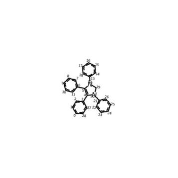 c1ccc(C2=C(c3ccccc3)N(c3ccccc3)CN2c2ccccc2)cc1